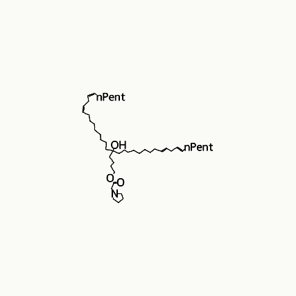 CCCCCC=CCC=CCCCCCCCCC(O)(CCCCCCCC/C=C\C/C=C\CCCCC)CCCCOC(=O)CN1CCCC1